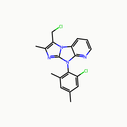 Cc1cc(C)c(-n2c3ncccc3n3c(CCl)c(C)nc23)c(Cl)c1